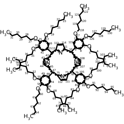 CCCCCCOc1cc(-c2c3nc(c(-c4cc(OCCCCCC)c(OCCCCCC)c(OCCCCCC)c4)c4ccc([nH]4)c(-c4cc(OCCCCCC)c(OCCCCCC)c(OCCCCCC)c4)c4nc(c(-c5cc(OCCCCCC)c(OCCCCCC)c(OCCCCCC)c5)c5ccc2[nH]5)C=C4)C=C3)cc(OCCCCCC)c1OCCCCCC